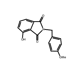 COc1ccc(CN2C(=O)c3cccc(O)c3C2=O)cc1